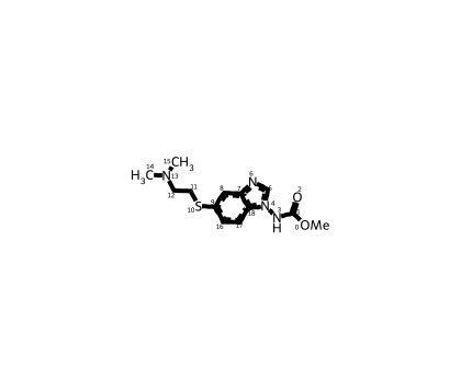 COC(=O)Nn1cnc2cc(SCCN(C)C)ccc21